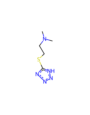 CN(C)CCSc1nnn[nH]1